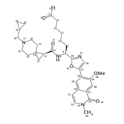 CCC(=O)CCCCC[C@H](NC(=O)[C@H]1CC12CCN(CC1CC1)CC2)c1ncc(-c2cc3ccn(C)c(=O)c3cc2OC)o1